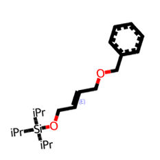 CC(C)[Si](OC/C=C/COCc1ccccc1)(C(C)C)C(C)C